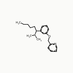 CCCCCC(c1cccc(OCc2ccccn2)c1)N(C)C